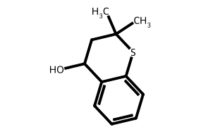 CC1(C)CC(O)c2ccccc2S1